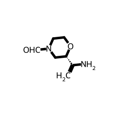 C=C(N)[C@@H]1CN(C=O)CCO1